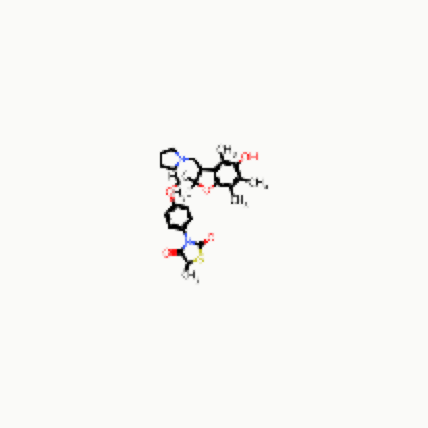 C=C1SC(=O)N(c2ccc(OC[C@H]3CCCN3CC3c4c(C)c(O)c(C)c(C)c4OC3(C)C)cc2)C1=O